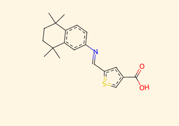 CC1(C)CCC(C)(C)c2cc(N=Cc3cc(C(=O)O)cs3)ccc21